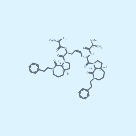 CN[C@@H](C)C(=O)N[C@@H](C/C=C\C[C@H](NC(=O)[C@H](C)NC)C(=O)N1CC[C@H]2CCCN(CCc3ccccc3)C(=O)[C@H]21)C(=O)N1CC[C@H]2CCCN(CCc3ccccc3)C(=O)[C@H]21